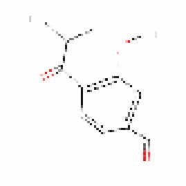 COc1cc(C=O)ccc1C(=O)C(C)C